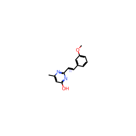 COc1cccc(/C=C/c2nc(C)cc(O)n2)c1